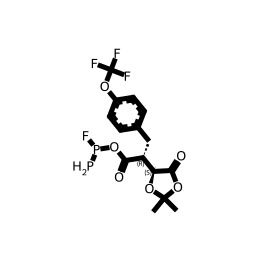 CC1(C)OC(=O)[C@H]([C@@H](Cc2ccc(OC(F)(F)F)cc2)C(=O)OP(F)P)O1